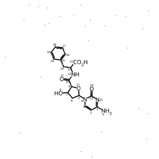 Nc1ccn(C2CC(O)C(C(=O)NC(Cc3ccccc3)C(=O)O)O2)c(=O)n1